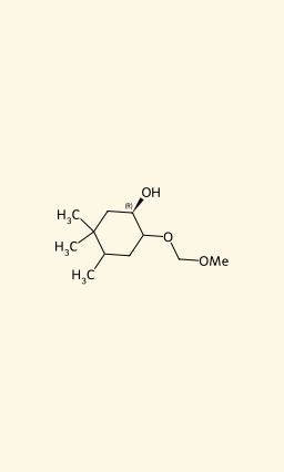 COCOC1CC(C)C(C)(C)C[C@H]1O